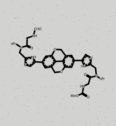 CCCN(Cc1ncc(-c2cc3c4c(c2)OCc2cc(-c5cnc(CN(CCC)C(=O)CNC(=O)OC)[nH]5)cc(c2-4)OC3)[nH]1)C(=O)CNC=O